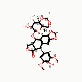 COc1cc([C@@H]2c3cc4c(cc3C(O[C@@H]3O[C@@H]5CO[C@@H](C)O[C@H]5[C@H](O)[C@H]3O)C3COC(=O)C32)OCO4)cc(OC)c1O